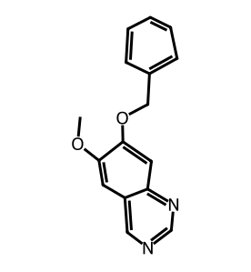 COc1cc2cncnc2cc1OCc1ccccc1